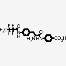 N[C@@H](Cc1ccc(NC(=O)C(F)(F)C(F)(F)C(F)(F)F)cc1)C(=O)Nc1ccc(C(=O)O)cc1